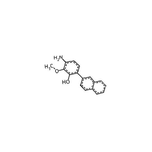 COc1c(N)ccc(-c2ccc3ccccc3c2)c1O